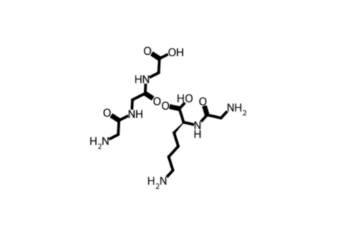 NCC(=O)NCC(=O)NCC(=O)O.NCCCC[C@H](NC(=O)CN)C(=O)O